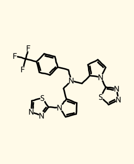 FC(F)(F)c1ccc(CN(Cc2cccn2-c2nncs2)Cc2cccn2-c2nncs2)cc1